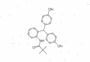 CC(C)(C)C(=O)Nc1ccccc1C(c1ccc(O)cc1)c1ccc(O)cc1